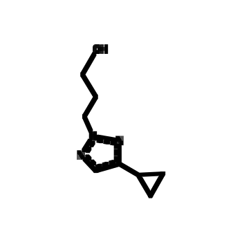 OCCCn1ncc(C2CC2)n1